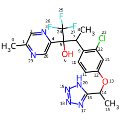 Cc1cnc(C(O)(C(C)c2ccc(OC(C)c3nnn[nH]3)cc2Cl)C(F)(F)F)cn1